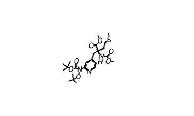 COC(=O)NC(CCSC)(Cc1ccnc(N(OC(C)(C)C)C(=O)OC(C)(C)C)c1)C(=O)OC